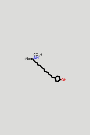 CCCCCCCCCC(CCCCCCCCCCCc1ccc(O)cc1)NC(=O)O